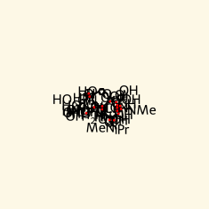 CNCCN[C@@]1(C)C[C@H](O[C@H]2[C@H](Oc3c4cc5cc3Oc3ccc(cc3Cl)[C@@H](O)[C@@H]3NC(=O)[C@H](NC(=O)[C@@H]5NC(=O)C(C(N)=O)NC(=O)C(NC(=O)[C@@H](CC(C)C)NC)[C@H](O)c5ccc(c(Cl)c5)O4)c4ccc(O)c(c4)-c4c(cc(O)c(CNCP(=O)(O)O)c4O)[C@@H](C(=O)O)NC3=O)O[C@H](CO)[C@@H](O)[C@@H]2O)O[C@@H](C)[C@H]1O